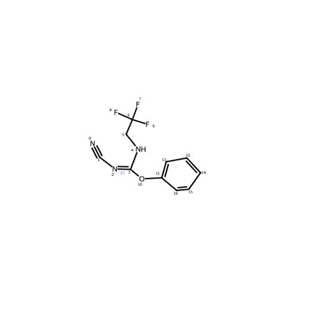 N#C/N=C(\NCC(F)(F)F)Oc1ccccc1